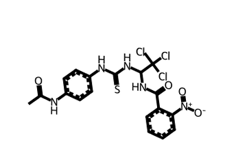 CC(=O)Nc1ccc(NC(=S)NC(NC(=O)c2ccccc2[N+](=O)[O-])C(Cl)(Cl)Cl)cc1